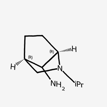 CC(C)N1C[C@H]2CC[C@@H]1C2N